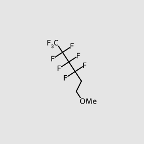 COCCC(F)(F)C(F)(F)C(F)(F)C(F)(F)F